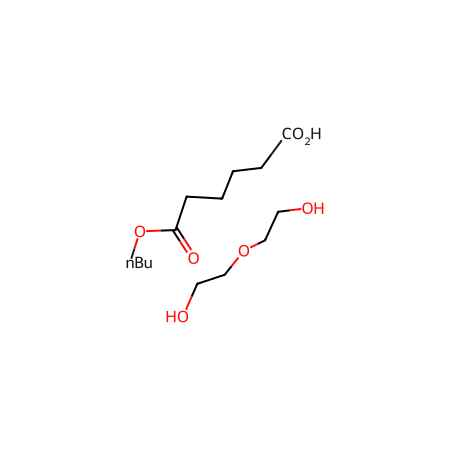 CCCCOC(=O)CCCCC(=O)O.OCCOCCO